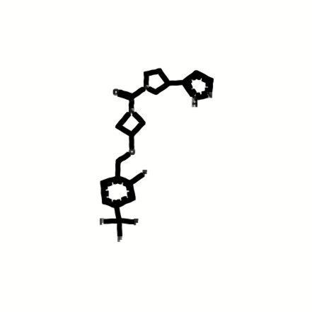 O=C(N1CC(OCc2ccc(C(F)(F)F)cc2F)C1)N1CCC(c2ccn[nH]2)C1